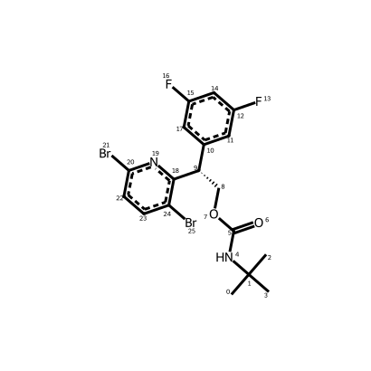 CC(C)(C)NC(=O)OC[C@@H](c1cc(F)cc(F)c1)c1nc(Br)ccc1Br